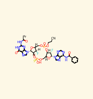 CC(C)C(=O)Nc1nc2c(ncn2[C@@H]2O[C@@H]3COP(=O)(OCCC#N)O[C@H]4[C@H](F)[C@H](n5cnc6c(NC(=O)c7ccccc7)ncnc65)O[C@@H]4COP(O)(=S)O[C@H]2[C@@H]3F)c(=O)[nH]1